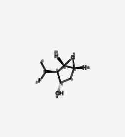 CC(F)[C@H]1[C@@H]2O[C@@H]2C[C@@H]1O